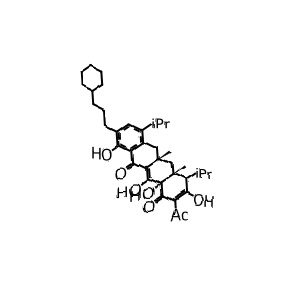 CC(=O)C1=C(O)C(C(C)C)[C@@]2(C)C[C@@]3(C)Cc4c(C(C)C)cc(CCCC5CCCCC5)c(O)c4C(=O)C3=C(O)[C@@]2(O)C1=O